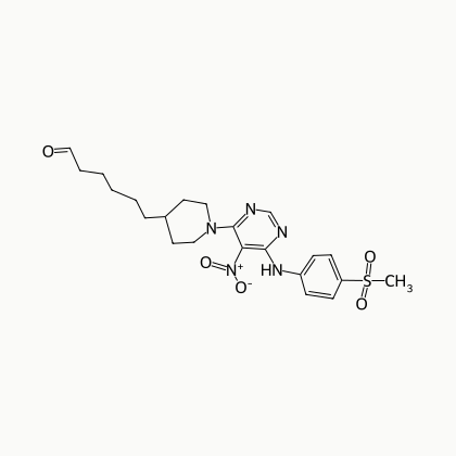 CS(=O)(=O)c1ccc(Nc2ncnc(N3CCC(CCCCCC=O)CC3)c2[N+](=O)[O-])cc1